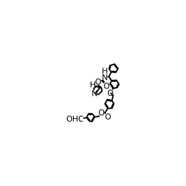 O=Cc1ccc(COC(=O)c2ccc(COc3cccc([C@@H](NC(=O)O[C@H]4CN5CCC4CC5)c4ccccc4)c3)cc2)cc1